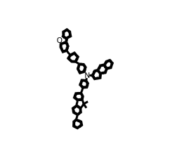 CC1(C)c2cc(-c3ccccc3)ccc2-c2ccc(-c3ccc(N(c4ccc(-c5ccc(-c6ccc7oc8ccccc8c7c6)cc5)cc4)c4ccc5cc6ccccc6cc5c4)cc3)cc21